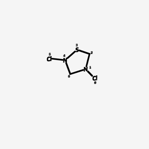 ClN1CSN(Cl)C1